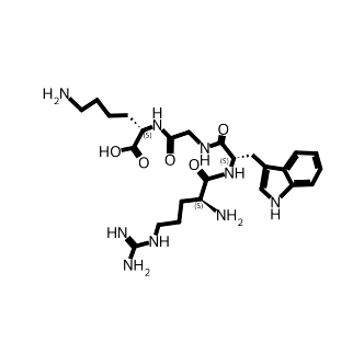 N=C(N)NCCC[C@H](N)C(=O)N[C@@H](Cc1c[nH]c2ccccc12)C(=O)NCC(=O)N[C@@H](CCCCN)C(=O)O